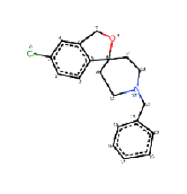 Clc1ccc2c(c1)COC21CCN(Cc2ccccc2)CC1